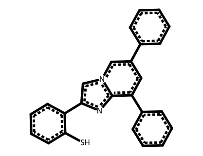 Sc1ccccc1-c1cn2cc(-c3ccccc3)cc(-c3ccccc3)c2n1